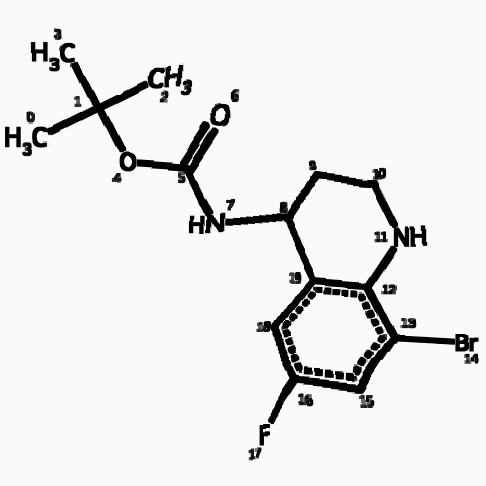 CC(C)(C)OC(=O)NC1CCNc2c(Br)cc(F)cc21